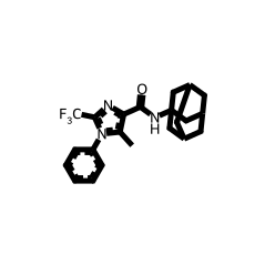 Cc1c(C(=O)NC23CC4CC(CC(C4)C2)C3)nc(C(F)(F)F)n1-c1ccccc1